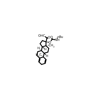 CCCCNC(=O)O[C@]1(C(=O)C=O)CC[C@H]2[C@@H]3CCC4=CCC=C[C@]4(C)[C@H]3CC[C@@]21C